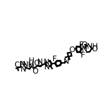 Cc1nc(-c2cc(C(=O)NCc3nc(C(C)(C)C(F)(F)F)n[nH]3)on2)ncc1-c1ccc(CN2CC3(CC(Oc4cc(F)c(N5CCC(=O)NC5=O)c(F)c4)C3)C2)cc1F